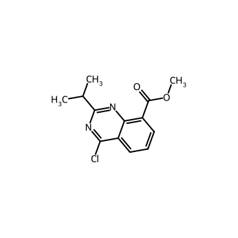 COC(=O)c1cccc2c(Cl)nc(C(C)C)nc12